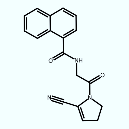 N#CC1=CCCN1C(=O)CNC(=O)c1cccc2ccccc12